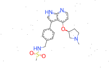 CN1CC[C@H](Oc2ccnc3[nH]cc(-c4ccc(CNS(C)(=O)=O)cc4)c23)C1